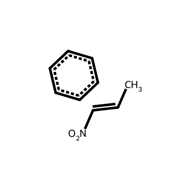 CC=C[N+](=O)[O-].c1ccccc1